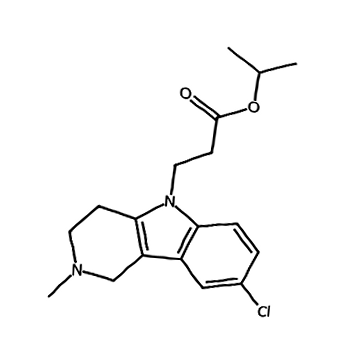 CC(C)OC(=O)CCn1c2c(c3cc(Cl)ccc31)CN(C)CC2